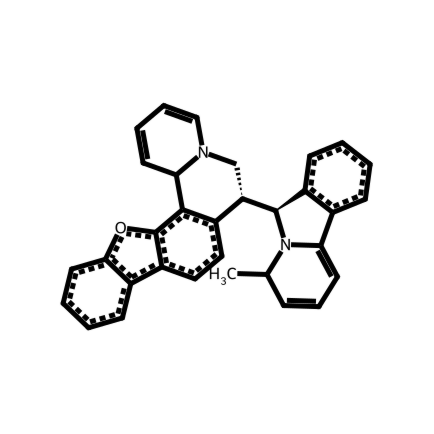 CC1C=CC=C2c3ccccc3[C@H]([C@H]3CN4C=CC=CC4c4c3ccc3c4oc4ccccc43)N21